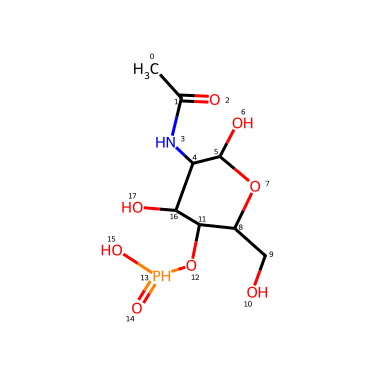 CC(=O)NC1C(O)OC(CO)C(O[PH](=O)O)C1O